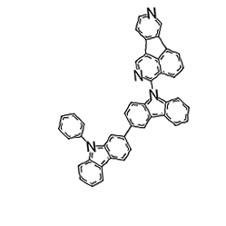 c1ccc(-n2c3ccccc3c3ccc(-c4ccc5c(c4)c4ccccc4n5-c4ncc5c6c(cccc46)-c4cnccc4-5)cc32)cc1